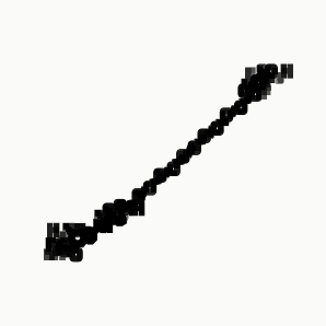 CCCN(OCC)C(=O)C1=Cc2ccc(-c3cnc(C(=O)N4CC[C@@H]4C(=O)NCCOCCOCCOCCOCCOCCOCCOCCOCCOCCOCCC(=O)Oc4c(F)c(F)c(S(=O)(=O)O)c(F)c4F)nc3)cc2N=C(N)C1